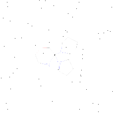 C1CCN(C2(N3CCCC3)COCC[N]2)CC1